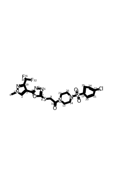 Cn1cc(-c2nnc(SCC(=O)N3CCN(S(=O)(=O)c4ccc(Cl)cc4)CC3)o2)c(C(F)F)n1